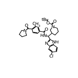 Cc1cc(C(=O)NC(c2nc3cc(Cl)ccc3[nH]2)C2CCCN(C(=O)OC(C)(C)C)C2)ccc1C(=O)N1CCCC1